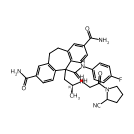 C[C@@H](CC1(C(=N)Nc2ccc(F)cc2)c2ccc(C(N)=O)cc2CCc2cc(C(N)=O)ccc21)NCC(=O)N1CCCC1C#N